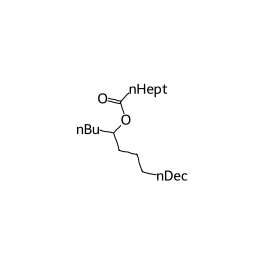 CCCCCCCCCCCCCC(CCCC)OC(=O)CCCCCCC